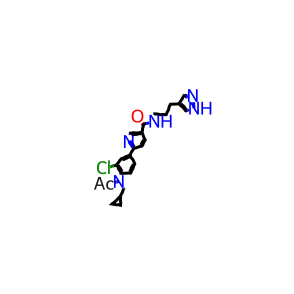 CC(=O)N(CC1CC1)c1ccc(-c2ccc(C(=O)NCCCc3cn[nH]c3)cn2)cc1Cl